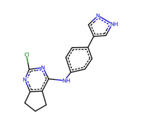 Clc1nc2c(c(Nc3ccc(-c4cn[nH]c4)cc3)n1)CCC2